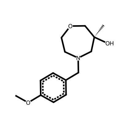 COc1ccc(CN2CCOC[C@@](C)(O)C2)cc1